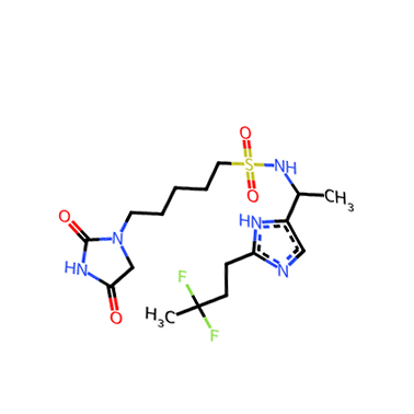 CC(NS(=O)(=O)CCCCCN1CC(=O)NC1=O)c1cnc(CCC(C)(F)F)[nH]1